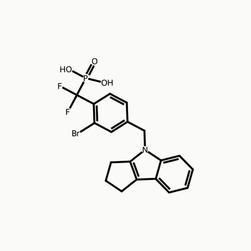 O=P(O)(O)C(F)(F)c1ccc(Cn2c3c(c4ccccc42)CCC3)cc1Br